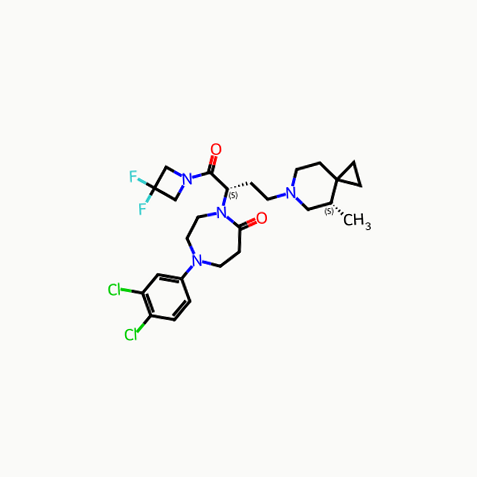 C[C@@H]1CN(CC[C@@H](C(=O)N2CC(F)(F)C2)N2CCN(c3ccc(Cl)c(Cl)c3)CCC2=O)CCC12CC2